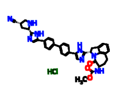 COC(=O)N[C@H]1CCc2cccc3c2N(C1=O)[C@H](c1ncc(-c2ccc(-c4ccc(-c5cnc([C@@H]6C[C@H](C#N)CN6)[nH]5)cc4)cc2)[nH]1)C3.Cl